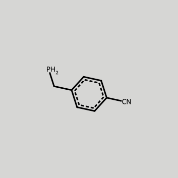 N#Cc1ccc(CP)cc1